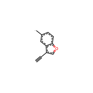 C#Cc1coc2ccc([CH2])cc12